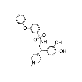 CN1CCN(C(CNS(=O)(=O)c2cccc(Oc3ccccc3)c2)c2ccc(O)c(O)c2)CC1